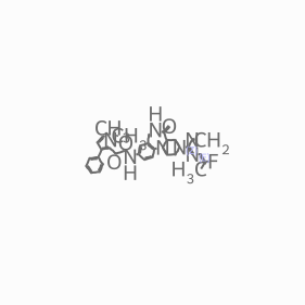 C=N/C(=N\C=C(/C)F)N1CCN2c3ccc(NC(=O)C(=O)c4c(-c5ccccc5)cc(C)n4C)cc3CNC(=O)C2C1